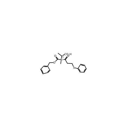 C[C@@H](C(=O)O)[N+](C)(C(=O)OCc1ccccc1)C(=S)CCSc1ccccc1